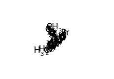 C=CCC[C@@H](Cc1ccc(Br)cc1)S(=O)(=O)N(Cc1ccc(OC)cc1)Cc1ccc(OC)cc1